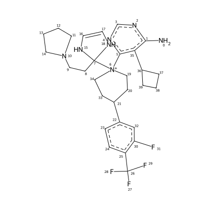 Nc1ncnc([N+]2(C3(CCN4CCCC4)NC=CN3)CCC(c3ccc(C(F)(F)F)c(F)c3)CC2)c1C1CCC1